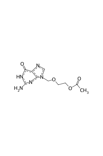 CC(=O)OCCOCn1cnc2c(=O)[nH]c(N)nc21